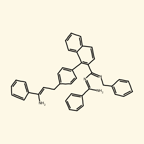 N/C(=C\Cc1ccc(-c2c(C(/N=C(\N)c3ccccc3)=N/Cc3ccccc3)ccc3ccccc23)cc1)c1ccccc1